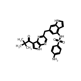 CC(C)(C)C(=O)c1c[nH]c2ncc(Cc3cc(NS(=O)(=O)c4ccc(N)cc4)c4cc[nH]c4c3)nc12